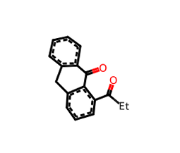 CCC(=O)c1cccc2c1C(=O)c1ccccc1C2